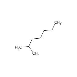 [CH2]CC[CH]CC(C)C